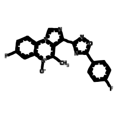 Cc1c2c(-c3noc(-c4ccc(F)cc4)n3)ncn2c2ccc(F)cc2[n+]1[O-]